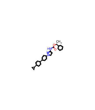 C[C@@H](OC(=O)Nc1ccn(-c2ccc(-c3ccc(C4CC4)cc3)cc2)n1)c1ccccc1